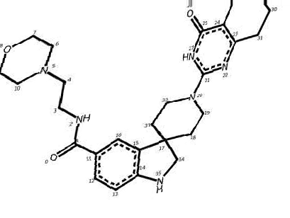 O=C(NCCN1CCOCC1)c1ccc2c(c1)C1(CCN(c3nc4c(c(=O)[nH]3)CCCC4)CC1)CN2